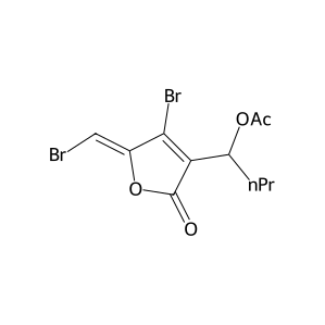 CCCC(OC(C)=O)C1=C(Br)C(=CBr)OC1=O